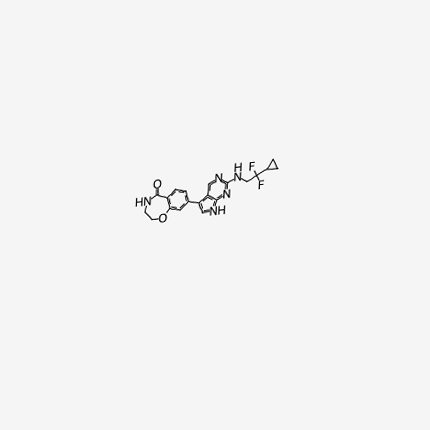 O=C1NCCOc2cc(-c3c[nH]c4nc(NCC(F)(F)C5CC5)ncc34)ccc21